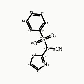 N#CN(c1nccs1)S(=O)(=O)c1ccccc1